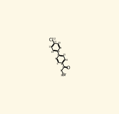 O=C(CBr)c1ccc(-c2ccc(Cl)cc2)cc1